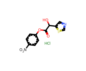 Cl.O=C(Oc1ccc([N+](=O)[O-])cc1)C(O)c1cncs1